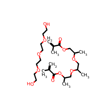 C=C(C)C(=O)OCC(C)OCC(C)OCC(C)OC(=O)C(=C)C.OCCOCCOCCOCCO